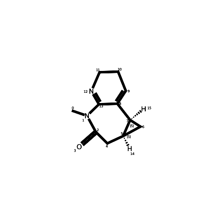 CN1C(=O)C[C@@H]2C[C@@H]2C2=CCCN=C21